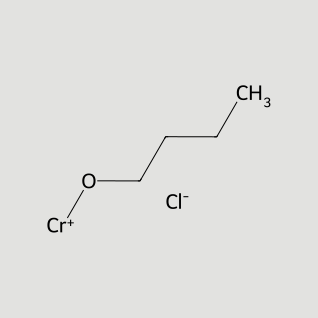 CCCC[O][Cr+].[Cl-]